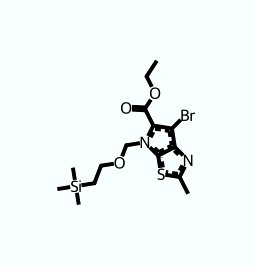 CCOC(=O)c1c(Br)c2nc(C)sc2n1COCC[Si](C)(C)C